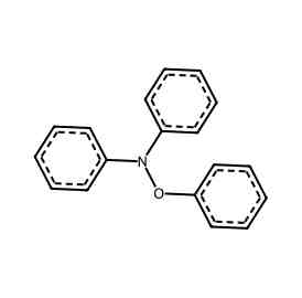 c1ccc(ON(c2ccccc2)c2ccccc2)cc1